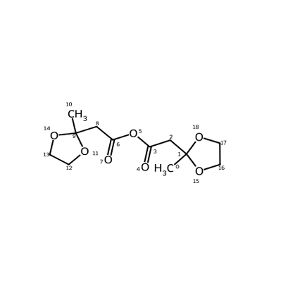 CC1(CC(=O)OC(=O)CC2(C)OCCO2)OCCO1